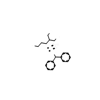 CC(c1ccccc1)c1ccccc1.N=C=O.N=C=O.OCCCC(CO)CO